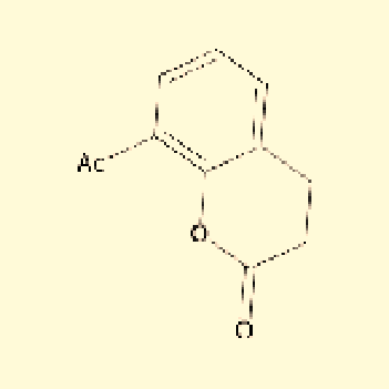 CC(=O)c1cccc2c1OC(=O)CC2